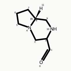 O=CC1CN2CCC[C@@H]2CN1